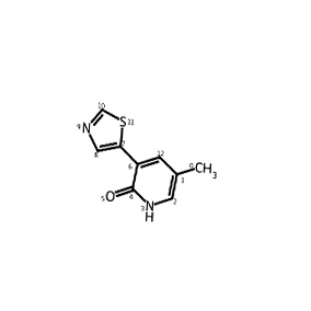 Cc1c[nH]c(=O)c(-c2cncs2)c1